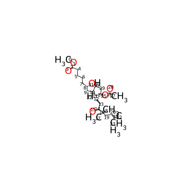 COC(=O)CCCC[C@@H]1C[C@@H]2[C@@H](/C=C/C(=O)C(C)(C)CC=C(C)C)[C@H](OC(C)=O)C[C@@H]2O1